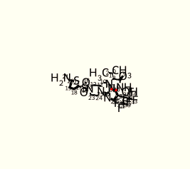 CC(C)[C@H]1C(=O)NCCN1C[C@H]1CN(S(=O)(=O)c2ccc(N)s2)CCN1c1ncc(C(O)(C(F)(F)F)C(F)(F)F)cn1